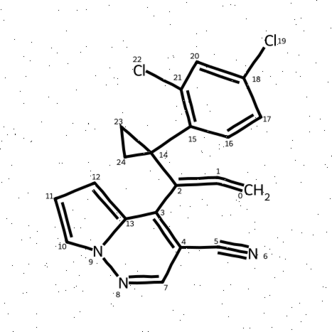 C=C=C(c1c(C#N)cnn2cccc12)C1(c2ccc(Cl)cc2Cl)CC1